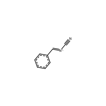 N#C[N+]=Cc1ccccc1